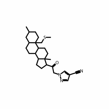 CSCC12CCC(C)CC1CCC1C3CCC(C(=O)Cn4cc(C#N)cn4)C3(C)CCC12